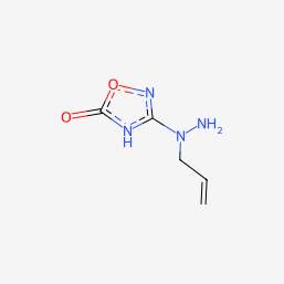 C=CCN(N)c1noc(=O)[nH]1